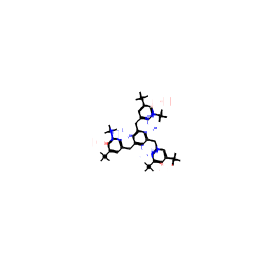 CNc1c(Cc2cc(C(C)(C)C)c(O)c(C(C)(C)C)c2)c(NC)c(Cc2cc(C(C)(C)C)c(O)c(C(C)(C)C)c2)c(NC)c1Cc1cc(C(C)(C)C)c(O)c(C(C)(C)C)c1